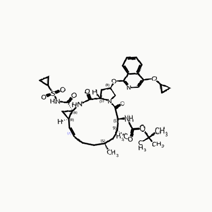 C[C@H]1CC/C=C\[C@H]2C[C@@]2(C(=O)NS(=O)(=O)C2CC2)NC(=O)[C@@H]2C[C@@H](Oc3ncc(OC4CC4)c4ccccc34)CN2C(=O)[C@@H](NC(=O)OC(C)(C)C)[C@H](C)C1